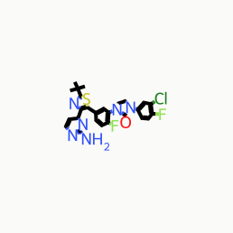 CC(C)(C)c1nc(-c2ccnc(N)n2)c(-c2ccc(F)c(N3CCN(c4ccc(F)c(Cl)c4)C3=O)c2)s1